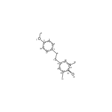 COc1ccc(CSc2cc(C)c(=O)n(C)c2)cc1